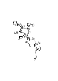 CCC(=O)N1CCN(c2cc(OC)c(Cl)cc2F)C[C@@H]1C